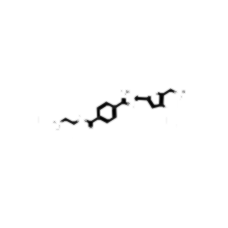 CCN(CC)Cc1sc(-c2nc(-c3ccc(C(=O)NCCN(C)C)cc3)no2)cc1C